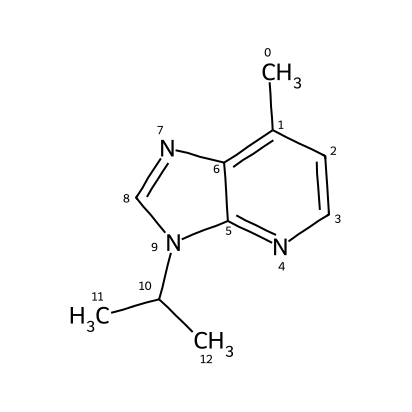 Cc1ccnc2c1ncn2C(C)C